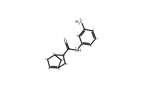 [CH2]c1cccc(NC(=O)C2CC3=CCC2C3)c1